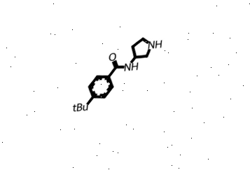 CC(C)(C)c1ccc(C(=O)NC2CCNC2)cc1